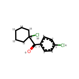 O=C(c1ccc(Cl)cc1)C1(Cl)CCCCC1